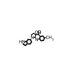 Cc1ccc2c(c1)C(=O)[C@]1(O)CCN(c3ccc4cc[nH]c4c3)C1=N2